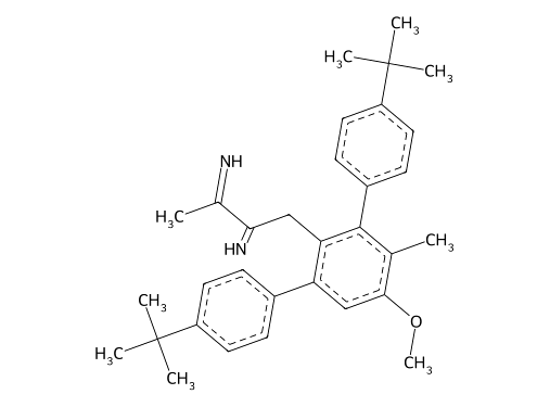 COc1cc(-c2ccc(C(C)(C)C)cc2)c(CC(=N)C(C)=N)c(-c2ccc(C(C)(C)C)cc2)c1C